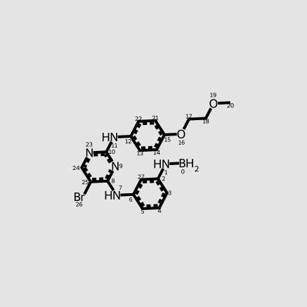 BNc1cccc(Nc2nc(Nc3ccc(OCCOC)cc3)ncc2Br)c1